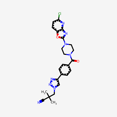 CC(C)(C#N)Cn1cc(-c2ccc(C(=O)N3CCN(c4nc5nc(Cl)ccc5o4)CC3)cc2)nn1